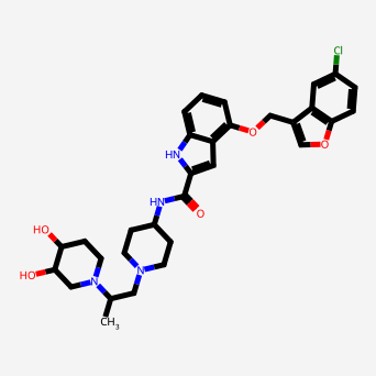 CC(CN1CCC(NC(=O)c2cc3c(OCc4coc5ccc(Cl)cc45)cccc3[nH]2)CC1)N1CCC(O)C(O)C1